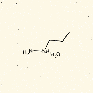 CCCNN.O